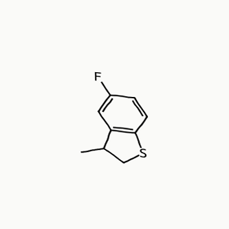 CC1CSc2ccc(F)cc21